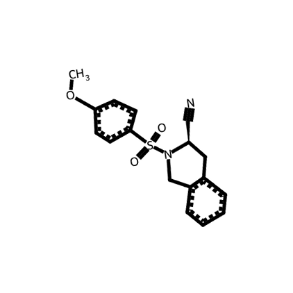 COc1ccc(S(=O)(=O)N2Cc3ccccc3C[C@@H]2C#N)cc1